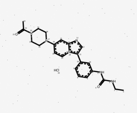 CCNC(=O)Nc1cccc(-c2cnc3cc(N4CCN(C(C)=O)CC4)ccn23)c1.Cl